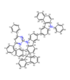 c1ccc(-c2cc(-c3ccccc3)nc(-n3c4ccc(-c5ccc6c(c5)c5c7ccccc7ccc5n6-c5ccccc5)cc4c4ccc5c(c43)-c3ccccc3C53c4ccccc4-c4ccccc43)n2)cc1